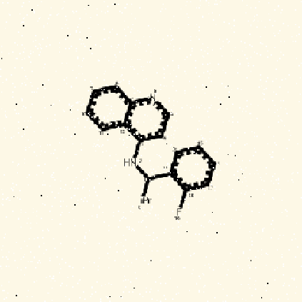 CC(C)C(Nc1ccnc2ccccc12)c1ccccc1F